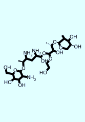 CC1C(O)[C@H](O)CO[C@@H]1O[C@@H](C)C(O)C(OCCO)O[C@H](O)C(N)CC(N)[C@H](C)OC1OC(CO)C(O)C(O)C1N